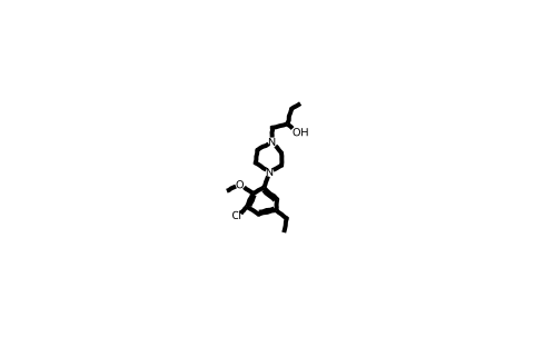 CCc1cc(Cl)c(OC)c(N2CCN(CC(O)CC)CC2)c1